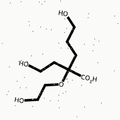 O=C(O)C(CCO)(CCCO)OCCO